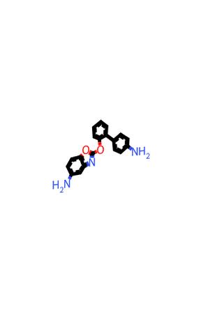 Nc1ccc(-c2ccccc2Oc2nc3cc(N)ccc3o2)cc1